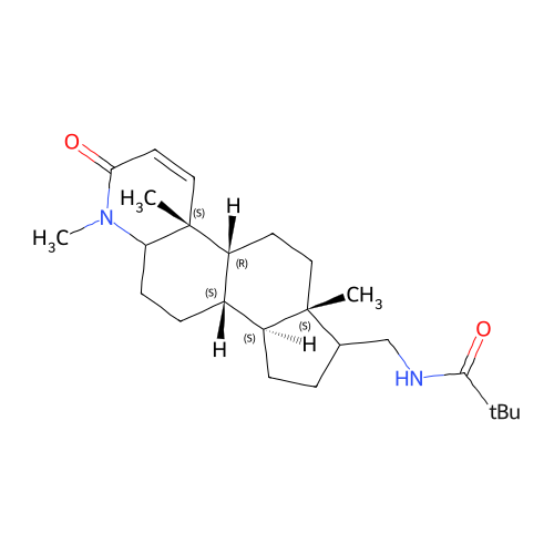 CN1C(=O)C=C[C@@]2(C)C1CC[C@@H]1[C@H]2CC[C@]2(C)C(CNC(=O)C(C)(C)C)CC[C@@H]12